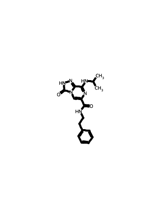 CC(C)Nc1nc(C(=O)NCCc2ccccc2)cn2c(=O)[nH]nc12